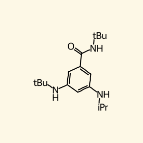 CC(C)Nc1cc(NC(C)(C)C)cc(C(=O)NC(C)(C)C)c1